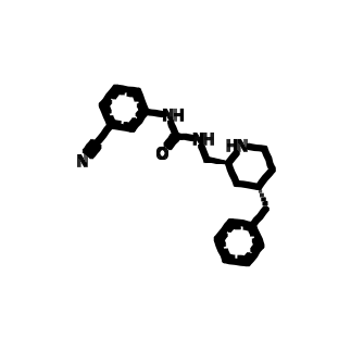 N#Cc1cccc(NC(=O)NC[C@@H]2C[C@@H](Cc3ccccc3)CCN2)c1